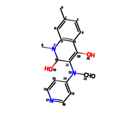 Cc1ccc2c(c1)N(C)C(O)C(N(C=O)c1ccncc1)=C2O